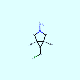 NN1C[C@@H]2[C@H](CF)[C@@H]2C1